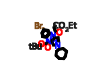 CCOC(=O)CC(=O)N(c1cc(Br)ccc1NC(=O)OC(C)(C)C)C1CCN(C2CCCCCCC2)CC1